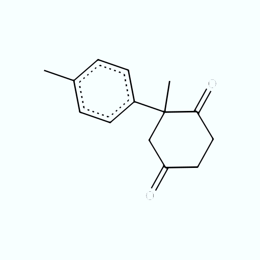 Cc1ccc(C2(C)CC(=O)[CH]CC2=O)cc1